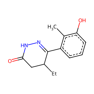 CCC1CC(=O)NN=C1c1cccc(O)c1C